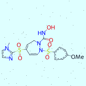 COc1ccc(S(=O)(=O)N2C=CC(S(=O)(=O)c3nccn3C)=CCN2C(=O)NO)cc1